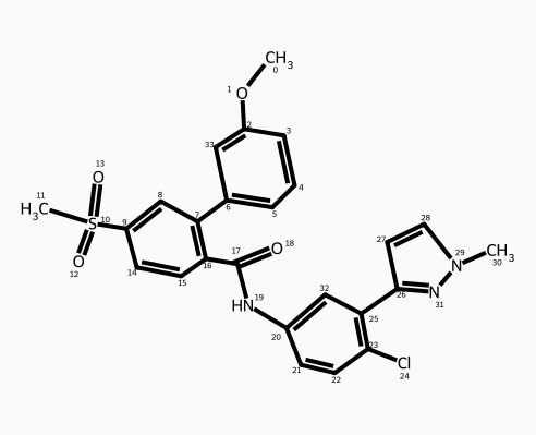 COc1cccc(-c2cc(S(C)(=O)=O)ccc2C(=O)Nc2ccc(Cl)c(-c3ccn(C)n3)c2)c1